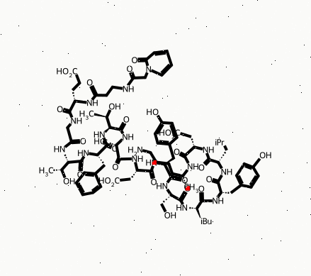 CC[C@H](C)[C@H](NC(=O)[C@H](CO)NC(=O)[C@H](Cc1ccc(O)cc1)NC(=O)[C@H](CC(=O)O)NC(=O)[C@H](CO)NC(=O)[C@@H](NC(=O)[C@H](Cc1ccccc1)NC(=O)[C@@H](NC(=O)CNC(=O)[C@H](CCC(=O)O)NC(=O)CCNC(=O)Cn1ccccc1=O)[C@@H](C)O)[C@@H](C)O)C(=O)N[C@@H](Cc1ccc(O)cc1)C(=O)N[C@@H](CC(C)C)C(=O)N[C@@H](CC(=O)O)C(=O)N[C@H](C)CCCCN